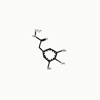 CC(C)(C)c1cc(CC(=O)NC(=O)O)cc(C(C)(C)C)c1O